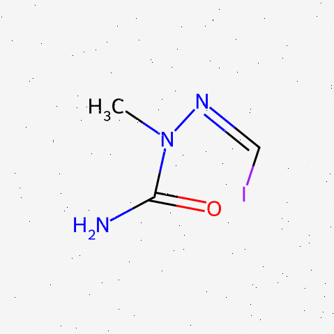 CN(/N=C\I)C(N)=O